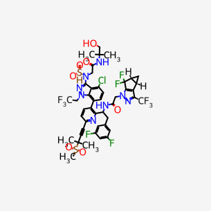 CC(C)(CO)NC(=O)CN(c1nn(CC(F)(F)F)c2c(-c3ccc(C#CC(C)(C)S(C)(=O)=O)nc3C(Cc3cc(F)cc(F)c3)NC(=O)Cn3nc(C(F)(F)F)c4c3C(F)(F)[C@@H]3C[C@H]43)ccc(Cl)c12)[SH](=O)=O